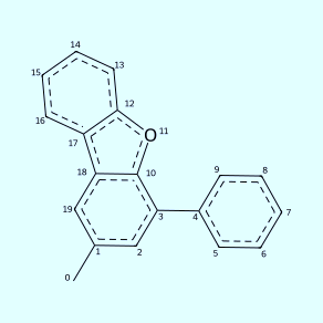 Cc1cc(-c2ccccc2)c2oc3ccccc3c2c1